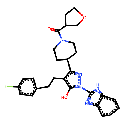 O=C(C1CCOC1)N1CCC(c2nn(-c3nc4ccccc4[nH]3)c(O)c2CCc2ccc(F)cc2)CC1